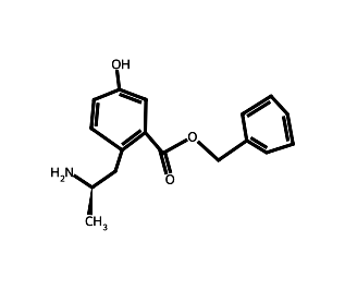 C[C@@H](N)Cc1ccc(O)cc1C(=O)OCc1ccccc1